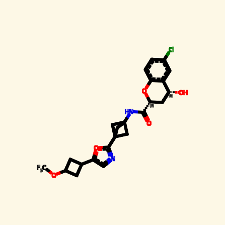 O=C(NC12CC(c3ncc(C4CC(OC(F)(F)F)C4)o3)(C1)C2)[C@H]1C[C@@H](O)c2cc(Cl)ccc2O1